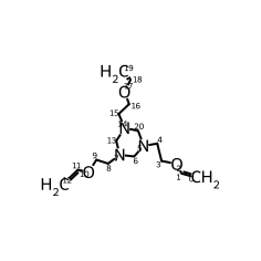 C=COCCN1CN(CCOC=C)CN(CCOC=C)C1